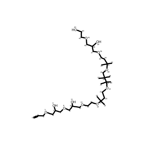 C=CCOCC(O)COCC(O)COCCOC(C)(C)CCOC(C)(C)C(C)(C)COC(C)(C)CCOCC(O)COCCO